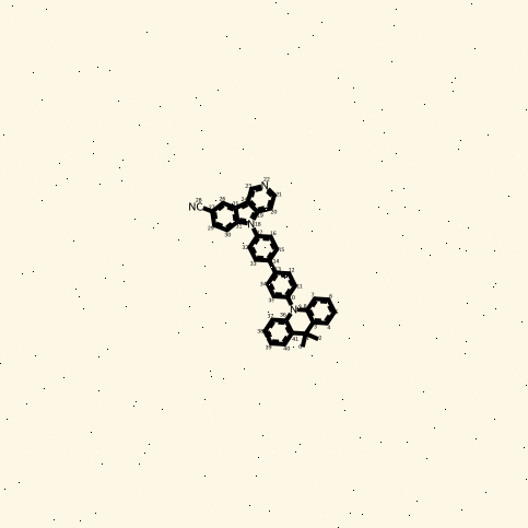 CC1(C)c2ccccc2N(c2ccc(-c3ccc(-n4c5ccncc5c5cc(C#N)ccc54)cc3)cc2)c2ccccc21